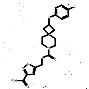 NC(=O)c1cc(COC(=O)N2CCC3(CC2)CC(Oc2ccc(Cl)cc2)C3)on1